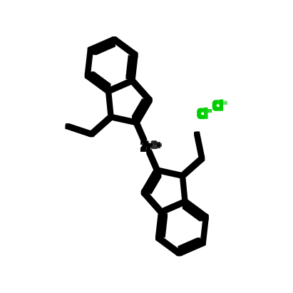 CCC1[C]([Zr+2][C]2=Cc3ccccc3C2CC)=Cc2ccccc21.[Cl-].[Cl-]